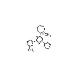 Cc1cccc(-c2nc(-c3ccccc3)cc(C3C=CC=CC[C@H]3C)n2)c1